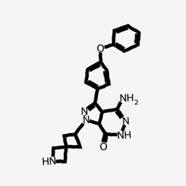 NC1=NNC(=O)C2C1C(c1ccc(Oc3ccccc3)cc1)=NN2C1CC2(CNC2)C1